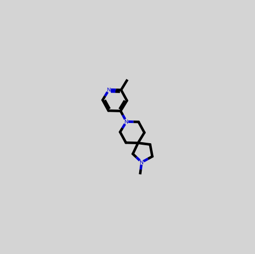 Cc1cc(N2CCC3(CCN(C)C3)CC2)ccn1